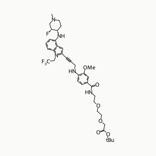 COc1cc(C(=O)NCCOCCOCC(=O)OC(C)(C)C)ccc1NCC#Cc1cc2c(N[C@@H]3CCN(C)C[C@@H]3F)cccc2n1CC(F)(F)F